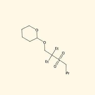 CCC(CC)(COC1CCCCO1)S(=O)(=O)CC(C)C